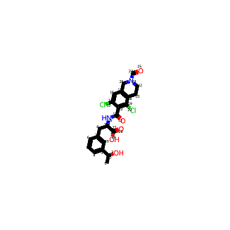 CC(O)c1cccc(CC(NC(=O)c2c(Cl)cc3c(c2Cl)CCN(C=O)C3)C(=O)O)c1